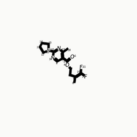 CC(CCOC(=O)c1cnc(N2CCCC2)nc1C)=C(F)F